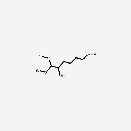 CCCCCCCCCCCC([SiH3])C(OCC)OCC